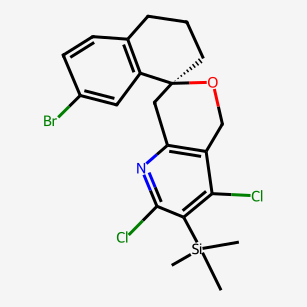 C[Si](C)(C)c1c(Cl)nc2c(c1Cl)CO[C@@]1(CCCc3ccc(Br)cc31)C2